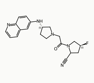 N#CC1C[C@H](F)CN1C(=O)CN1CC[C@H](Nc2ccc3ncccc3c2)C1